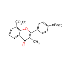 CCCCCc1ccc(-c2oc3c(C(=O)OCC)cccc3c(=O)c2C)cc1